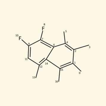 Cc1c(C)c(C)c2c(F)c(F)cc(C)c2c1C